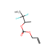 C=CCOC(=O)OC(C)C(F)(F)S(=O)(=O)O